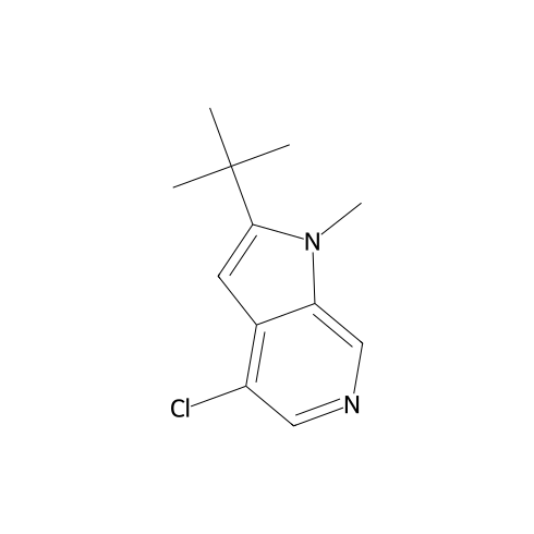 Cn1c(C(C)(C)C)cc2c(Cl)cncc21